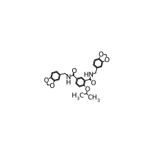 CC(C)Oc1ccc(C(=O)NCc2ccc3c(c2)OCO3)cc1C(=O)NCc1ccc2c(c1)OCO2